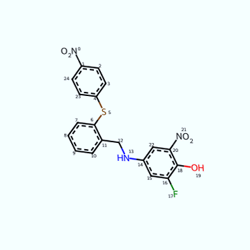 O=[N+]([O-])c1ccc(Sc2ccccc2CNc2cc(F)c(O)c([N+](=O)[O-])c2)cc1